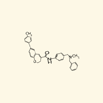 Cc1ccc(-c2ccc3c(c2)C=C(C(=O)Nc2ccc(CN(C)Cc4ccccc4)cc2)CCO3)cc1